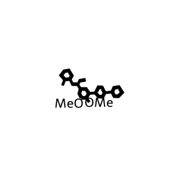 C=C/C(=C\c1ccccc1C)c1cc(OC)c(OC)c(-c2ccc(-c3ccccc3)cc2)c1